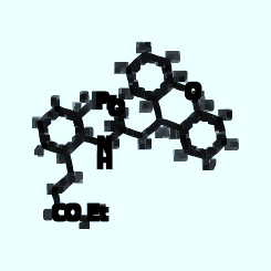 CCOC(=O)C=Cc1cccc(C(C)C)c1NC(=O)CC1c2ccccc2Oc2ccccc21